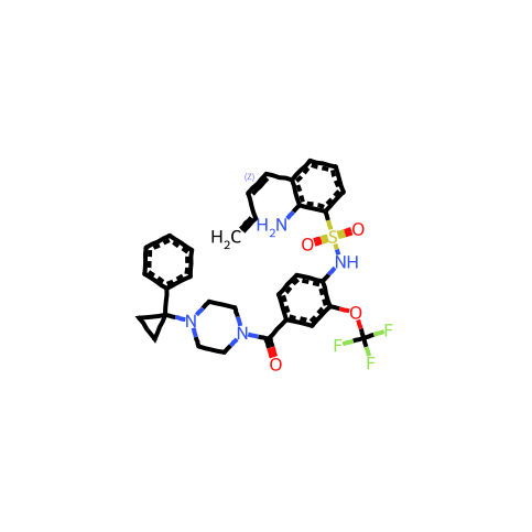 C=C/C=C\c1cccc(S(=O)(=O)Nc2ccc(C(=O)N3CCN(C4(c5ccccc5)CC4)CC3)cc2OC(F)(F)F)c1N